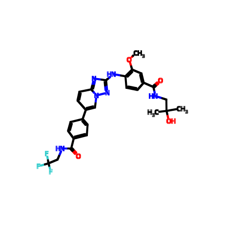 COc1cc(C(=O)NCC(C)(C)O)ccc1Nc1nc2ccc(-c3ccc(C(=O)NCC(F)(F)F)cc3)cn2n1